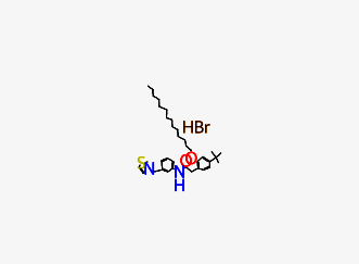 Br.CCCCCCCCCCCCCCOc1cc(C(C)(C)C)ccc1CC(=O)Nc1cccc(CN2C=CSC2)c1